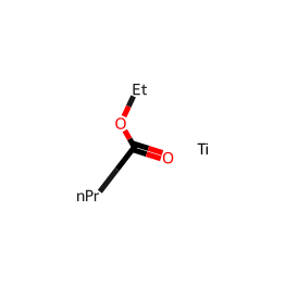 CCCC(=O)OCC.[Ti]